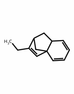 CCC1=CC23C=CC=CC2CC1C3